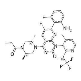 C=CC(=O)N1C[C@H](C)N(c2nc(=O)n(-c3c(C)ccnc3[C@@H](C)C(F)(F)F)c3nc(-c4c(N)cccc4F)c(F)cc23)C[C@H]1C